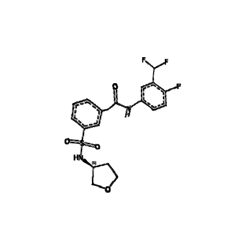 O=C(Nc1ccc(F)c(C(F)F)c1)c1cccc(S(=O)(=O)N[C@H]2CCOC2)c1